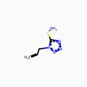 C=CCn1nnnc1SN